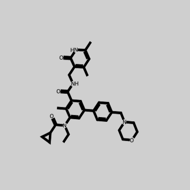 CCN(C(=O)C1CC1)c1cc(-c2ccc(CN3CCOCC3)cc2)cc(C(=O)NCc2c(C)cc(C)[nH]c2=O)c1C